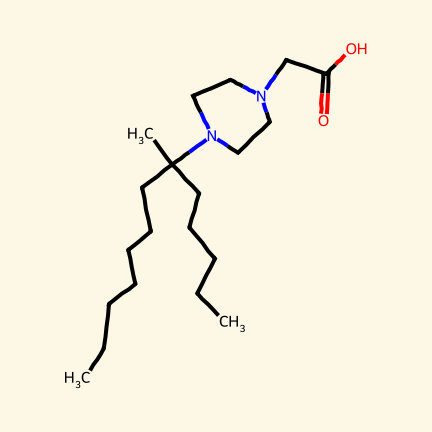 CCCCCCCC(C)(CCCCC)N1CCN(CC(=O)O)CC1